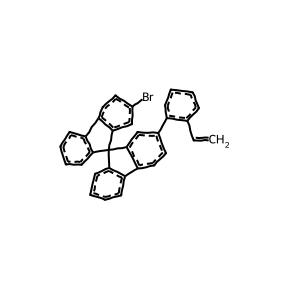 C=Cc1ccccc1-c1ccc2c(c1)C1(c3ccccc3-c3ccc(Br)cc31)c1ccccc1-2